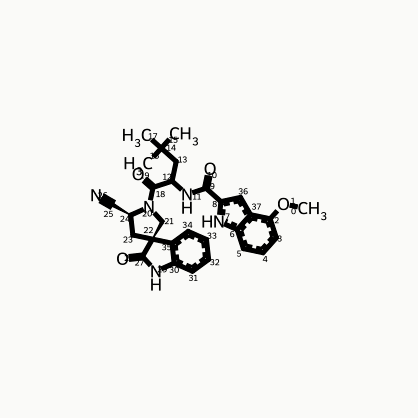 COc1cccc2[nH]c(C(=O)NC(CC(C)(C)C)C(=O)N3C[C@]4(C[C@H]3C#N)C(=O)Nc3ccccc34)cc12